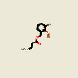 O=C(O)C=CC(=O)OCc1cccc(Br)c1OBr